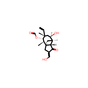 C=C[C@]1(C)C[C@@H](O)[C@]2(C)[C@H](C)CC[C@]3(C/C(=C\O)C(=O)[C@H]32)[C@@H](C)[C@@H]1OC=O